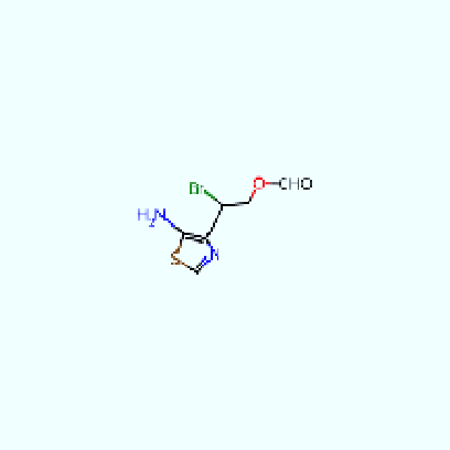 Nc1scnc1C(Br)COC=O